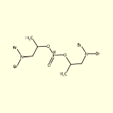 CC(CN(Br)Br)O[PH](=O)OC(C)CN(Br)Br